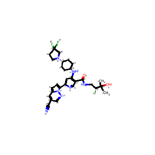 CC(C)(O)[C@H](F)CNC(=O)c1cnc(-c2ccc3cc(C#N)cnn23)cc1N[C@H]1CC[C@@H](N2CCC(F)(F)C2)CC1